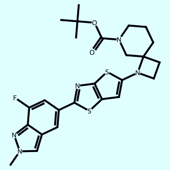 Cn1cc2cc(-c3nc4sc(N5CCC56CCCN(C(=O)OC(C)(C)C)C6)cc4s3)cc(F)c2n1